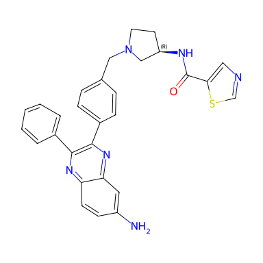 Nc1ccc2nc(-c3ccccc3)c(-c3ccc(CN4CC[C@@H](NC(=O)c5cncs5)C4)cc3)nc2c1